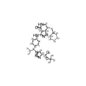 CC(C)C(c1ccc(Nc2nn([C@H]3CCCC[C@@H]3C)c3cc[nH]c(=O)c23)cc1)n1cc(C(=O)OC(C)(C)C)nn1